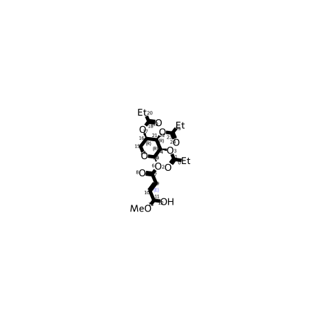 CCC(=O)O[C@H]1[C@H](OC(=O)/C=C/C(O)OC)OC[C@@H](OC(=O)CC)[C@H]1OC(=O)CC